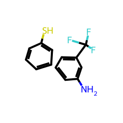 Nc1cccc(C(F)(F)F)c1.Sc1ccccc1